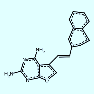 Nc1nc(N)c2c(C=Cc3ccc4ccccc4c3)coc2n1